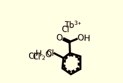 O.O=C(O)c1ccccc1Cl.[Cl-].[Cl-].[Cl-].[Tb+3]